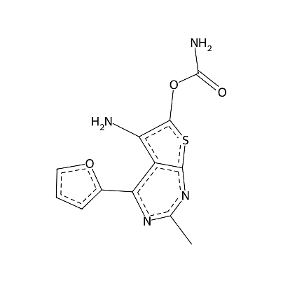 Cc1nc(-c2ccco2)c2c(N)c(OC(N)=O)sc2n1